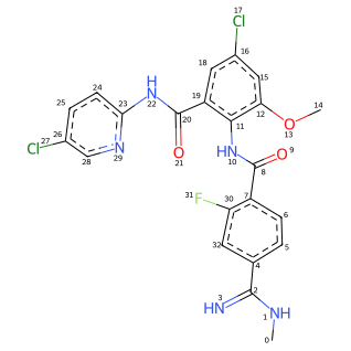 CNC(=N)c1ccc(C(=O)Nc2c(OC)cc(Cl)cc2C(=O)Nc2ccc(Cl)cn2)c(F)c1